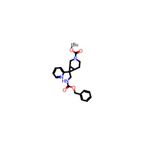 CC(C)(C)OC(=O)N1CCC2C(C1)C2(CNC(=O)OCc1ccccc1)c1ccccn1